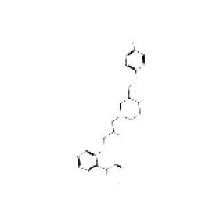 CC(C=O)c1ccccc1OCC(O)CN1CCCC(COc2ccc(F)cc2)C1